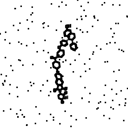 O=C1CCC(N2C(=O)c3cc4c(cc3C2=O)CN(C2CCC(C(=O)N3CCCC(Oc5ccc([C@@H]6c7ccc(O)cc7CC[C@@H]6c6ccccc6)cc5)C3)CC2)C4)C(=O)N1